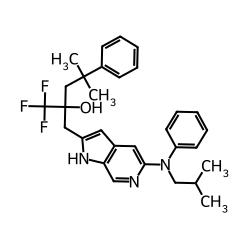 CC(C)CN(c1ccccc1)c1cc2cc(CC(O)(CC(C)(C)c3ccccc3)C(F)(F)F)[nH]c2cn1